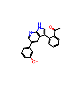 CC(=O)c1ccccc1-c1c[nH]c2ncc(-c3cccc(O)c3)cc12